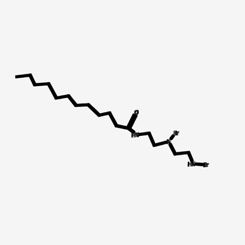 CCCCCCCCCCCC(=O)NCCN(Br)CCNBr